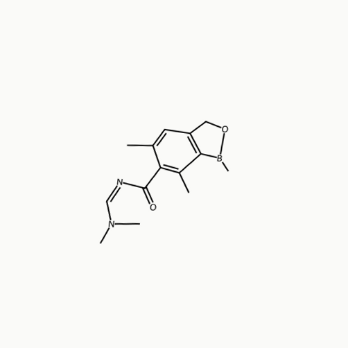 CB1OCc2cc(C)c(C(=O)/N=C\N(C)C)c(C)c21